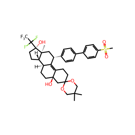 CC1(C)COC2(CCC3=C4[C@@H](CC[C@@]3(O)C2)[C@@H]2CC[C@@](O)(C(F)(F)C(F)(F)F)[C@@]2(C)C[C@@H]4c2ccc(-c3ccc(S(C)(=O)=O)cc3)cc2)OC1